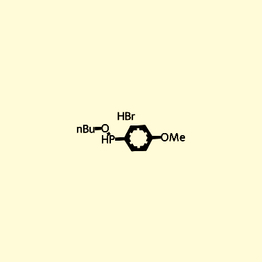 Br.CCCCOPc1ccc(OC)cc1